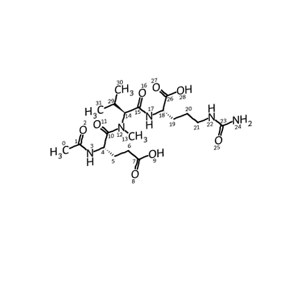 CC(=O)N[C@@H](CCC(=O)O)C(=O)N(C)[C@H](C(=O)N[C@@H](CCCNC(N)=O)C(=O)O)C(C)C